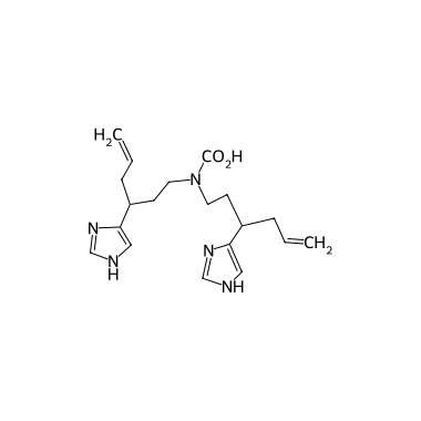 C=CCC(CCN(CCC(CC=C)c1c[nH]cn1)C(=O)O)c1c[nH]cn1